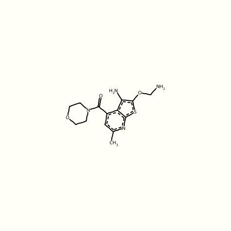 Cc1cc(C(=O)N2CCOCC2)c2c(N)c(OCN)sc2n1